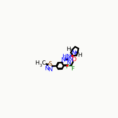 Cc1nnc(-c2ccc3cnc(NC(=O)N4[C@@H]5CC[C@H]4CC(NCC(F)F)C5)nc3c2)s1